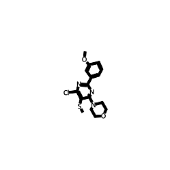 COc1cccc(-c2nc(Cl)c(SC)c(N3CCOCC3)n2)c1